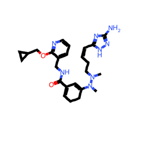 CN(CC/C=C\c1nc(N)n[nH]1)N(C)C1=CC(C(=O)NCc2cccnc2OCC2CC2)=CCC1